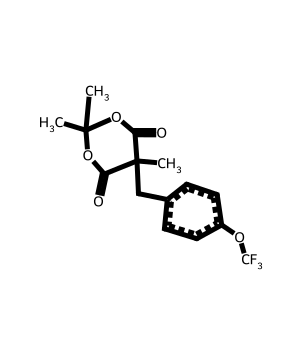 CC1(C)OC(=O)C(C)(Cc2ccc(OC(F)(F)F)cc2)C(=O)O1